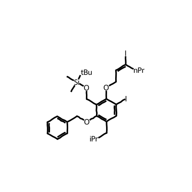 CCC/C(I)=C\COc1c(I)cc(CC(C)C)c(OCc2ccccc2)c1CO[Si](C)(C)C(C)(C)C